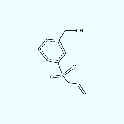 C=CCS(=O)(=O)c1cccc(CO)c1